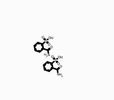 NC(=O)c1ccccc1S(=O)(=O)O.NC(=O)c1ccccc1S(=O)(=O)O